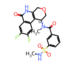 CNS(=O)(=O)c1cccc(C(=O)N(C)[C@@H]2COCc3[nH]c(=O)c4cc(F)c(F)cc4c32)c1